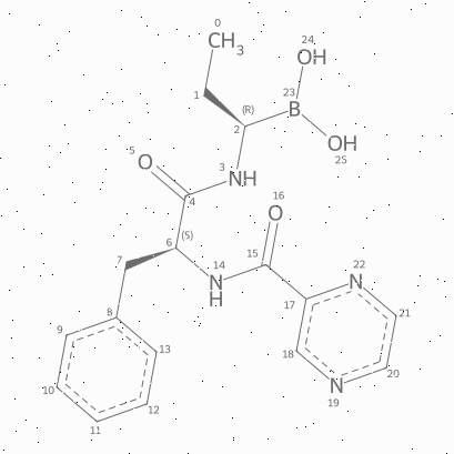 CC[C@H](NC(=O)[C@H](Cc1ccccc1)NC(=O)c1cnccn1)B(O)O